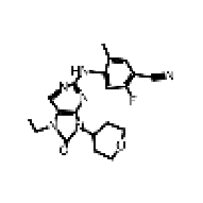 CCn1c(=O)n(C2CCOCC2)c2nc(Nc3cc(F)c(C#N)cc3C)ncc21